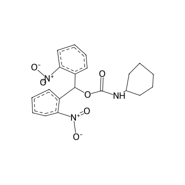 O=C(NC1CCCCC1)OC(c1ccccc1[N+](=O)[O-])c1ccccc1[N+](=O)[O-]